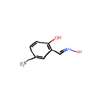 O=[N+]([O-])c1ccc(O)c(/C=N/O)c1